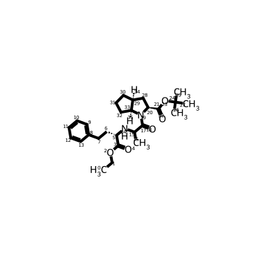 CCOC(=O)[C@H](CCc1ccccc1)NC(C)C(=O)N1[C@H](C(=O)OC(C)(C)C)C[C@@H]2CCC[C@@H]21